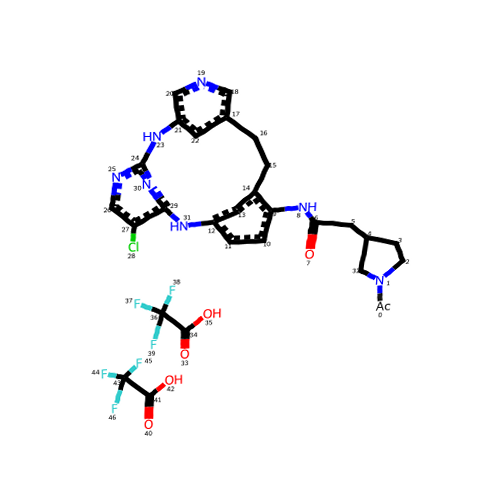 CC(=O)N1CCC(CC(=O)Nc2ccc3cc2CCc2cncc(c2)Nc2ncc(Cl)c(n2)N3)C1.O=C(O)C(F)(F)F.O=C(O)C(F)(F)F